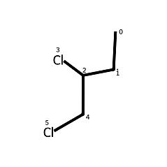 C[CH]C(Cl)CCl